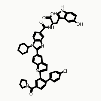 O=C(NC(Cc1c[nH]c2ccc(O)cc12)C(=O)O)c1ccc2c(c1)nc(-c1ccc3nc(-c4cc(C(=O)N5CCCC5)ccc4-c4ccc(Cl)cc4)ccc3c1)n2C1CCCCC1